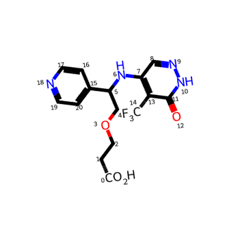 O=C(O)CCOCC(Nc1cn[nH]c(=O)c1C(F)(F)F)c1ccncc1